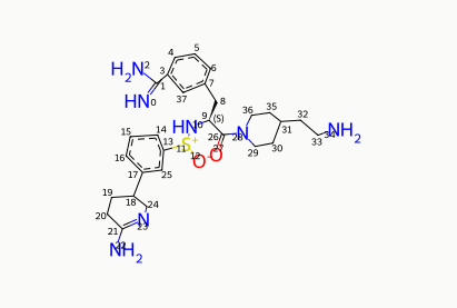 N=C(N)c1cccc(C[C@H](N[S+]([O-])c2cccc(C3CCC(N)=NC3)c2)C(=O)N2CCC(CCN)CC2)c1